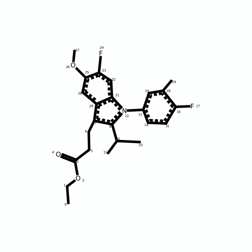 CCOC(=O)CCc1c(C(C)C)n(-c2ccc(F)c(C)c2)c2cc(F)c(OC)cc12